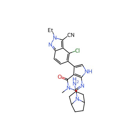 CCn1nc2ccc(-c3c[nH]c4nc(N5C6CCC5CC(N)C6)n(C)c(=O)c34)c(Cl)c2c1C#N